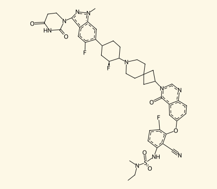 CCN(C)S(=O)(=O)Nc1ccc(F)c(Oc2ccc3ncn(C4CC5(CCN(C6CCC(c7cc8c(cc7F)c(N7CCC(=O)NC7=O)nn8C)C[C@@H]6F)CC5)C4)c(=O)c3c2)c1C#N